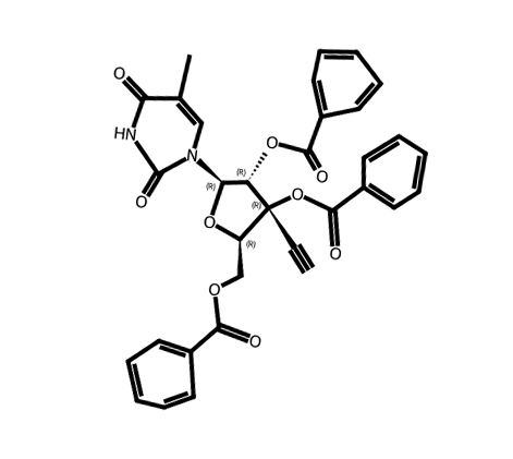 C#C[C@@]1(OC(=O)c2ccccc2)[C@@H](COC(=O)c2ccccc2)O[C@@H](n2cc(C)c(=O)[nH]c2=O)[C@@H]1OC(=O)c1ccccc1